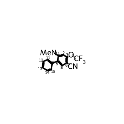 CNc1cc(OC(F)(F)F)c(C#N)cc1-c1ccccc1